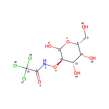 O=C(NO[C@H]1C(O)O[C@H](CO)[C@H](O)[C@@H]1O)C(Cl)(Cl)Cl